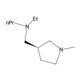 CCCN(CC)C[C@@H]1CCN(C)C1